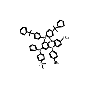 CC(C)(C)c1ccc(N2c3ccc(C(C)(C)C)cc3B3c4cc(C(C)(C)c5ccccc5)ccc4N(c4ccc(C(C)(C)c5ccccc5)cc4)c4cc(N(c5ccccc5)c5ccc([Si](C)(C)C)cc5)cc2c43)cc1